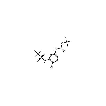 CC(C)(C)OC(=O)Nc1ccc(Cl)c(NS(=O)(=O)C(C)(C)C)c1